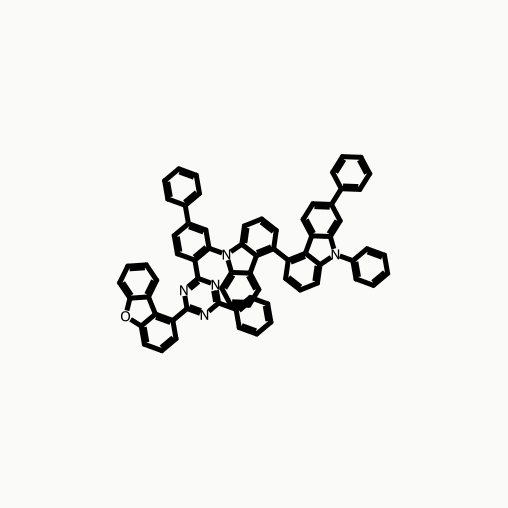 c1ccc(-c2ccc(-c3nc(-c4ccccc4)nc(-c4cccc5oc6ccccc6c45)n3)c(-n3c4ccccc4c4c(-c5cccc6c5c5ccc(-c7ccccc7)cc5n6-c5ccccc5)cccc43)c2)cc1